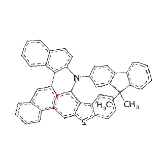 CC1(C)c2ccccc2-c2ccc(N(c3ccc4ccccc4c3-c3ccc4ccccc4c3)c3cccc4sc5ccccc5c34)cc21